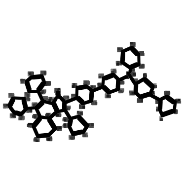 c1ccc(-c2ccc(N(c3ccccc3)c3ccc(-c4ccc(-c5sc6c(-c7ccccc7)c(-c7ccccc7)c7ccccc7c6c5-c5ccccc5)cc4)cc3)cc2)cc1